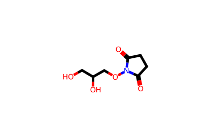 O=C1CCC(=O)N1OCC(O)CO